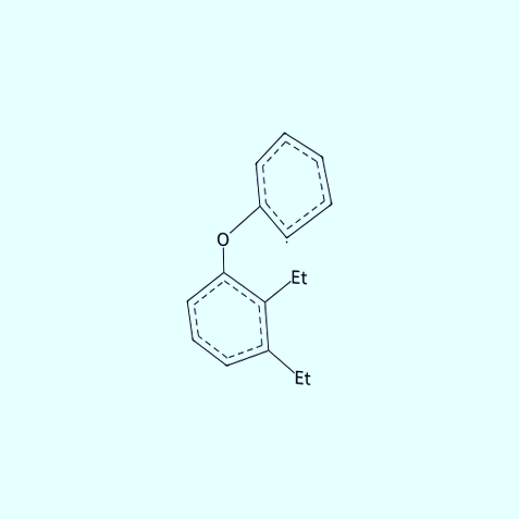 CCc1cccc(Oc2[c]cccc2)c1CC